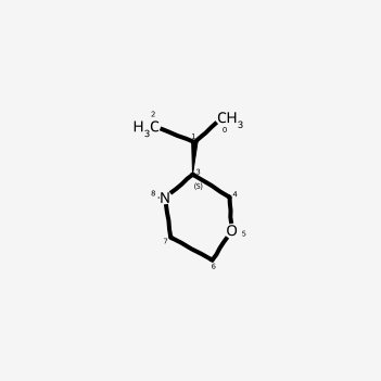 CC(C)[C@H]1COCC[N]1